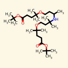 CC(CCOC(C)(C)CCC(=O)OC(C)(C)C)NC(C)(C)CCOC(C)(C)CCC(=O)OC(C)(C)C